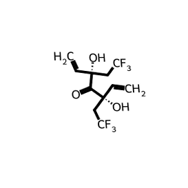 C=C[C@@](O)(CC(F)(F)F)C(=O)[C@@](O)(C=C)CC(F)(F)F